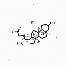 C[C@H](CCC(=O)[O-])[C@H]1CC[C@H]2[C@@H]3CC[C@@H]4C[C@H](O)CC[C@]4(C)[C@H]3CC[C@]12C.[K+]